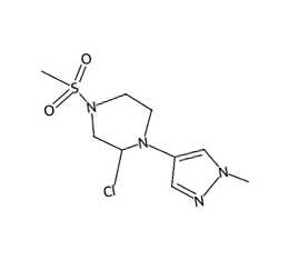 Cn1cc(N2CCN(S(C)(=O)=O)CC2Cl)cn1